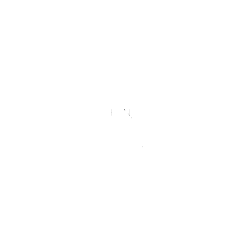 N[C@@H](Cc1ccccc1)C(=O)OCC1=CCCC=C1